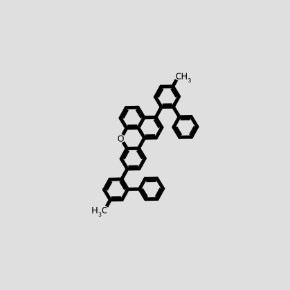 Cc1ccc(-c2ccc3c(c2)Oc2cccc4c(-c5ccc(C)cc5-c5ccccc5)ccc-3c24)c(-c2ccccc2)c1